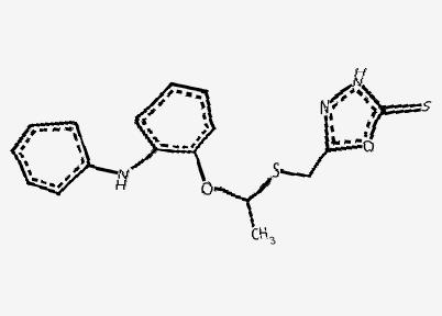 CC(Oc1ccccc1Nc1ccccc1)SCc1n[nH]c(=S)o1